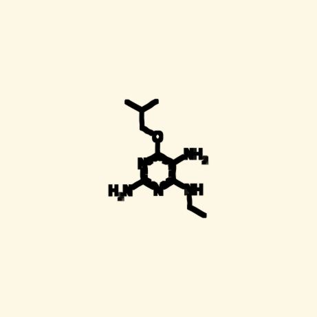 CCNc1nc(N)nc(OCC(C)C)c1N